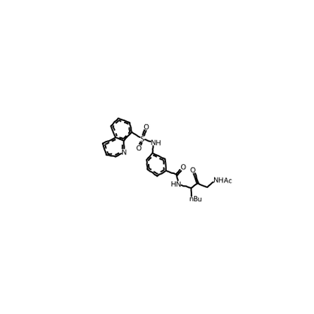 CCCCC(NC(=O)c1cccc(NS(=O)(=O)c2cccc3cccnc23)c1)C(=O)CNC(C)=O